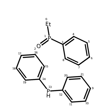 CC[P](=O)c1ccccc1.c1ccc(Pc2ccccc2)cc1